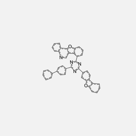 c1ccc(-c2ccc(-c3nc(-c4ccc5c(c4)oc4ccccc45)nc(-c4cccc5oc6c7ccccc7ncc6c45)n3)cc2)cc1